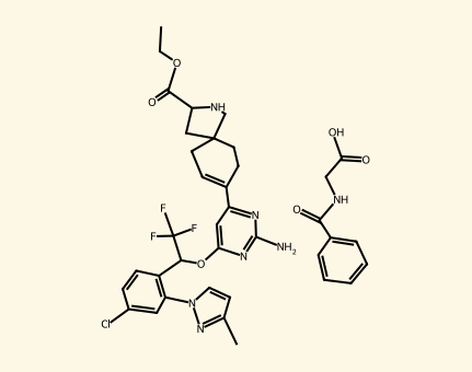 CCOC(=O)C1CC2(CC=C(c3cc(OC(c4ccc(Cl)cc4-n4ccc(C)n4)C(F)(F)F)nc(N)n3)CC2)CN1.O=C(O)CNC(=O)c1ccccc1